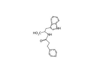 O=C(CCc1ccccc1)NC(Cc1c[nH]c2ccccc12)C(=O)O